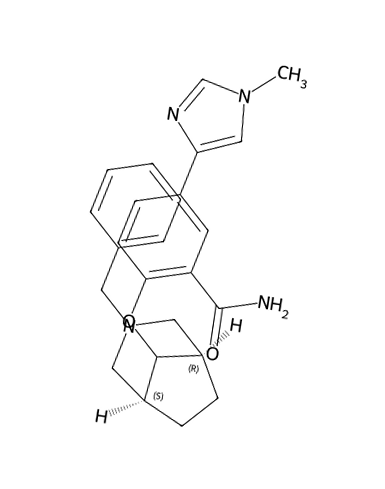 Cn1cnc(-c2ccc(OC3[C@@H]4CC[C@H]3CN(Cc3ccccc3)C4)c(C(N)=O)c2)c1